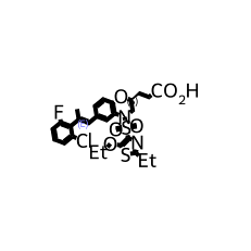 CCOc1sc(CC)nc1S(=O)(=O)N1C[C@H](CCC(=O)O)Oc2ccc(/C=C(\C)c3c(F)cccc3Cl)cc21